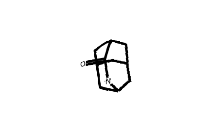 O=C1[N]C2CC3CC(C2)CC1C3